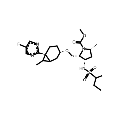 CCC(C)S(=O)(=O)N[C@H]1C[C@@H](C)N(C(=O)OC)[C@H]1CO[C@H]1CC[C@@]2(c3ncc(F)cn3)C(C)C2C1